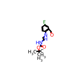 CC(C)(C)OC(=O)NCCNc1ccc(F)cc1C=O